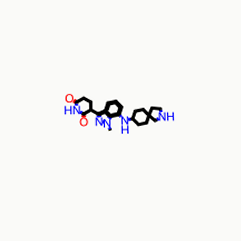 Cn1nc(C2CCC(=O)NC2=O)c2cccc(NC3CCC4(CCNC4)CC3)c21